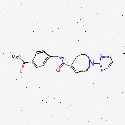 COC(=O)c1ccc(NC(=O)C2=CCN(c3ncccn3)CC2)cc1